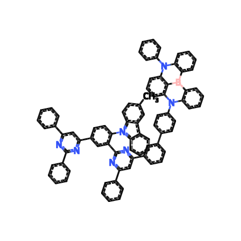 Cc1ccc2c(c1)c1ccccc1n2-c1ccc(-c2cc(-c3ccccc3)nc(-c3ccccc3)n2)cc1-c1nc(-c2ccccc2)cc(-c2cccc(-c3ccc(N4c5ccccc5B5c6ccccc6N(c6ccccc6)c6cccc4c65)cc3)c2)n1